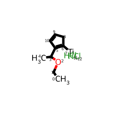 CCOC(C)C1=[C]([Ti])CC=C1.Cl.Cl